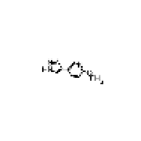 COc1ccc(-c2c[nH]nn2)cn1